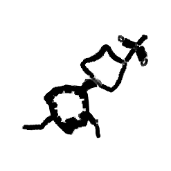 CCc1ccc(N2CCN(S(C)(=O)=O)CC2)c(OC)c1